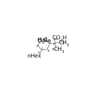 CCCCCCC(COC)CC(C)C(C)(C)C(=O)O